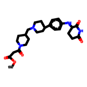 CC(C)(C)OC(=O)CC(=O)N1CCC(CN2CCC(c3ccc(NC4CCC(=O)NC4=O)cc3)CC2)CC1